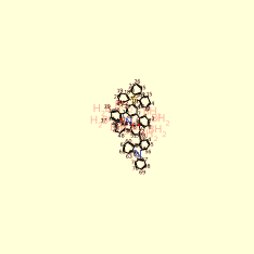 Bc1c(B)c(B)c(-c2cc(S(c3ccccc3)(c3ccccc3)c3ccccc3)cc(-c3c(B)c(B)c(B)c(B)c3B)c2-n2c3ccccc3c3cc(-c4cccc5c4c4ccccc4n5-c4ccccc4)ccc32)c(B)c1B